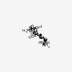 N=C(N)Nc1coc(Cn2ccn3c2cc[n+]3CC2=C(C(=O)[O-])N3C(=O)[C@@H](NC(=O)/C(=N\O)c4nc(N)sc4Cl)[C@H]3SC2)c1